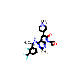 Cc1nc(N[C@H](C)c2cccc(C(F)F)c2F)c2cc(C3=CCN(C)CC3)c(=O)n(C3COC3)c2n1